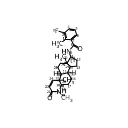 Cc1c(F)cccc1C(=O)NC1CC[C@H]2[C@@H]3CC[C@H]4N(C)C(=O)C=C[C@]4(C)[C@H]3CC[C@]12C